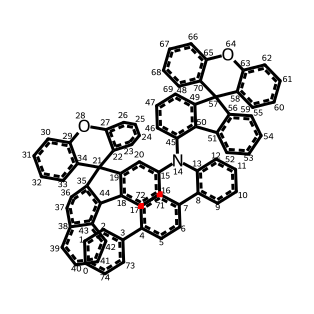 c1ccc(-c2ccc(-c3ccccc3N(c3ccc4c(c3)C3(c5ccccc5Oc5ccccc53)c3ccc5ccccc5c3-4)c3cccc4c3-c3ccccc3C43c4ccccc4Oc4ccccc43)cc2)cc1